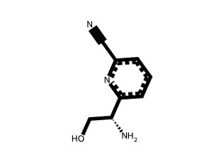 N#Cc1cccc([C@H](N)CO)n1